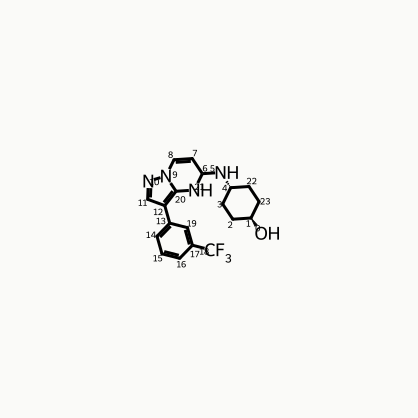 O[C@H]1CC[C@H](NC2C=Cn3ncc(-c4cccc(C(F)(F)F)c4)c3N2)CC1